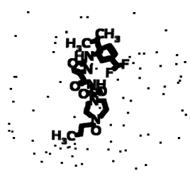 CCCC(=O)N1CCCN(S(=O)(=O)NC(=O)c2coc(Nc3cc(C(F)F)ccc3C(C)C)n2)CC1